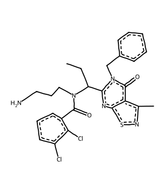 CCC(c1nc2snc(C)c2c(=O)n1Cc1ccccc1)N(CCCN)C(=O)c1cccc(Cl)c1Cl